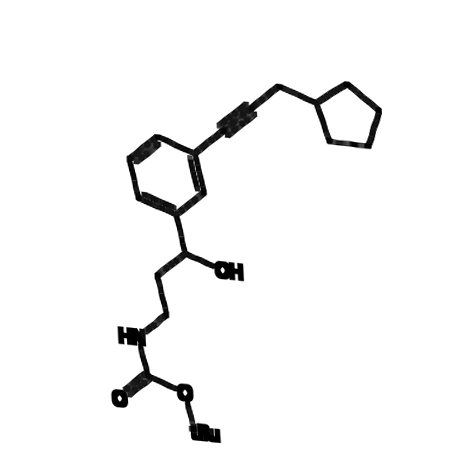 CC(C)(C)OC(=O)NCCC(O)c1cccc(C#CCC2CCCC2)c1